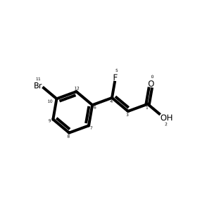 O=C(O)C=C(F)c1cccc(Br)c1